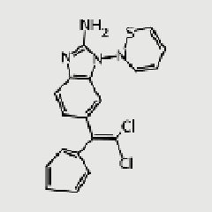 Nc1nc2ccc(C(=C(Cl)Cl)c3ccccc3)cc2n1N1C=CC=CS1